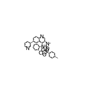 Cc1ccc(S(=O)(=O)O[N+]2(c3ccccc3Cl)C(=O)N(C)c3cnc4ccc(-c5cccnc5)cc4c32)cc1